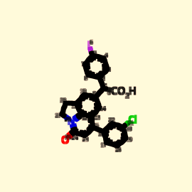 O=C(O)C(c1ccc(I)cc1)c1cc2c3c(c1)c(-c1cccc(Cl)c1)cc(=O)n3CC2